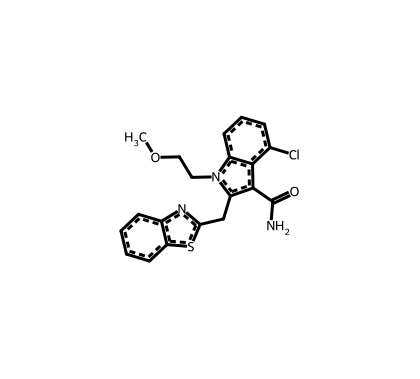 COCCn1c(Cc2nc3ccccc3s2)c(C(N)=O)c2c(Cl)cccc21